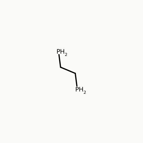 PCCP